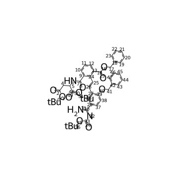 CC(C)(C)OC(=O)CC(NC(=O)c1cccc(C(=O)OCc2ccccc2)c1C=Cc1cc(C(N)=NC(=O)OC(C)(C)C)ccc1OCc1ccccc1)C(=O)OC(C)(C)C